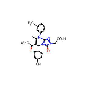 COC(=O)C1=C(C)N(c2cccc(C(F)(F)F)c2)c2nn(CC(=O)O)c(=O)n2[C@@H]1c1ccc(C#N)cc1